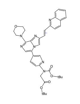 CC(C)(C)OC(=O)CN(C(=O)OC(C)(C)C)c1ccc(-c2cnc(N3CCOCC3)c3nc(/C=C/c4ccc5ccccc5n4)cn23)cn1